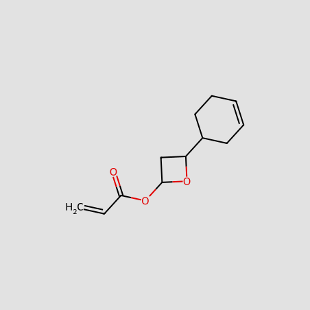 C=CC(=O)OC1CC(C2CC=CCC2)O1